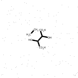 CC.O=C(O)C(O)C(O)C(=O)O